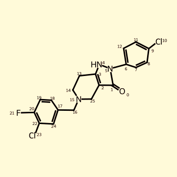 O=c1c2c([nH]n1-c1ccc(Cl)cc1)CCN(Cc1ccc(F)c(Cl)c1)C2